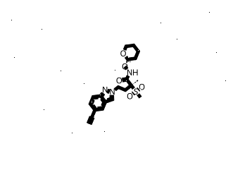 C#Cc1ccc2nn(CC[C@@](C)(C(=O)NO[C@H]3CCCCO3)S(C)(=O)=O)cc2c1